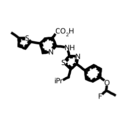 Cc1ccc(-c2cnc(Nc3nc(-c4ccc(OC(C)F)cc4)c(CC(C)C)s3)c(C(=O)O)c2)s1